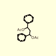 CC(=O)OC(CC(OC(C)=O)c1ccccc1)c1ccccc1